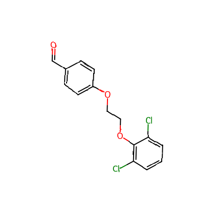 O=Cc1ccc(OCCOc2c(Cl)cccc2Cl)cc1